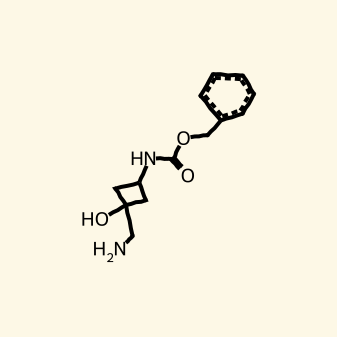 NCC1(O)CC(NC(=O)OCc2ccccc2)C1